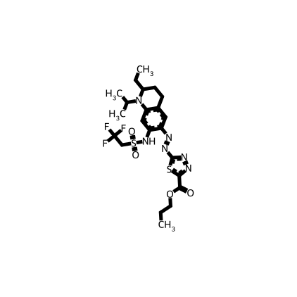 CCCOC(=O)c1nnc(N=Nc2cc3c(cc2NS(=O)(=O)CC(F)(F)F)N(C(C)C)C(CC)CC3)s1